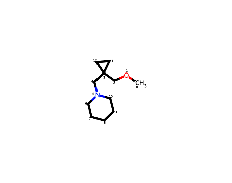 COCC1(CN2CCCCC2)CC1